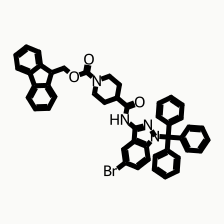 O=C(Nc1nn(C(c2ccccc2)(c2ccccc2)c2ccccc2)c2ccc(Br)cc12)C1CCN(C(=O)OCC2c3ccccc3-c3ccccc32)CC1